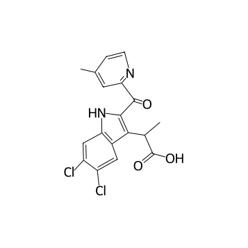 Cc1ccnc(C(=O)c2[nH]c3cc(Cl)c(Cl)cc3c2C(C)C(=O)O)c1